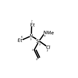 C=C[Si](Cl)(NC)N(CC)CC